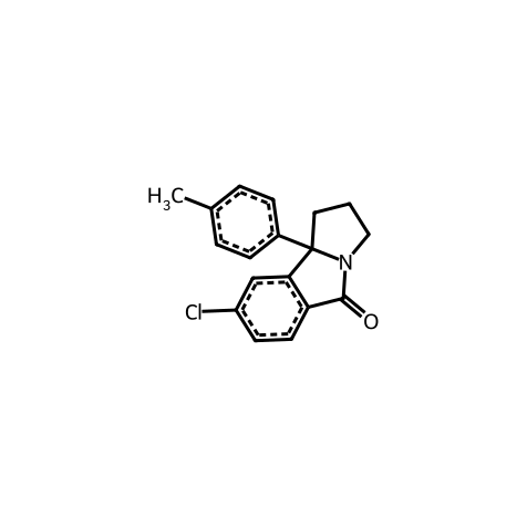 Cc1ccc(C23CCCN2C(=O)c2ccc(Cl)cc23)cc1